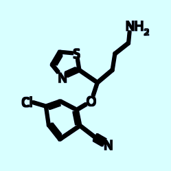 N#Cc1ccc(Cl)cc1OC(CCCN)c1nccs1